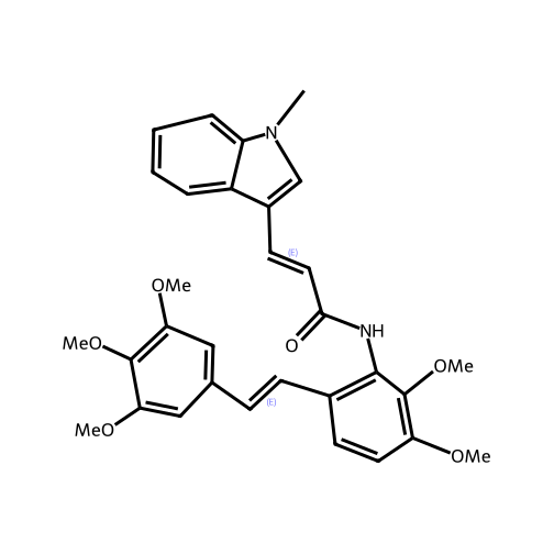 COc1cc(/C=C/c2ccc(OC)c(OC)c2NC(=O)/C=C/c2cn(C)c3ccccc23)cc(OC)c1OC